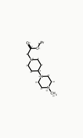 CC(C)OC(=O)CN1CCC(N2CCN(C)CC2)CC1